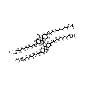 CCCCCCCCCCOC1CCC2(CC1)C(=O)[C@]1(CC[C@@H](OCCCCCCCCCC)CC1)[C@H]2F.CCCCCCCCCOC1CC[C@]2(CC1)C(=O)[C@@]1(CCC(OCCCCCCCCC)CC1)C2F